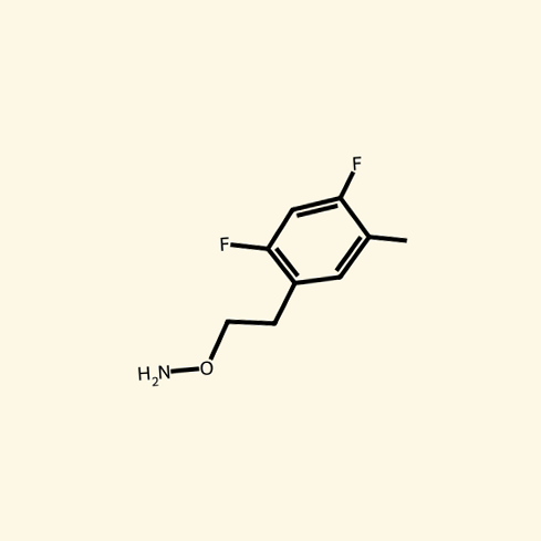 Cc1cc(CCON)c(F)cc1F